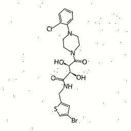 O=C(NCc1cc(Br)cs1)[C@H](O)[C@@H](O)C(=O)N1CCN(c2ccccc2Cl)CC1